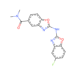 CN(C)C(=O)c1ccc2oc(Nc3nc4cc(F)ccc4o3)nc2c1